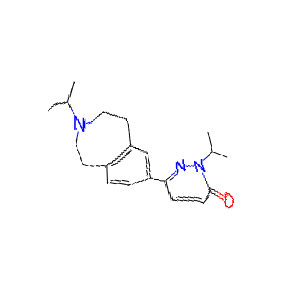 CC(C)N1CCc2ccc(-c3ccc(=O)n(C(C)C)n3)cc2CC1